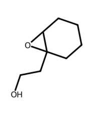 OCCC12CCCCC1O2